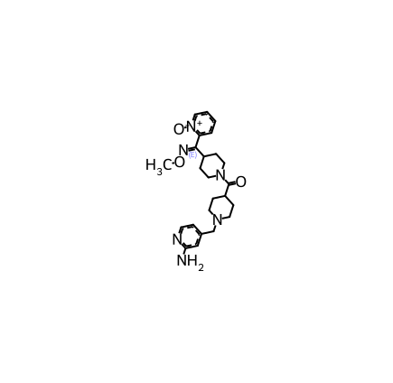 CO/N=C(/c1cccc[n+]1[O-])C1CCN(C(=O)C2CCN(Cc3ccnc(N)c3)CC2)CC1